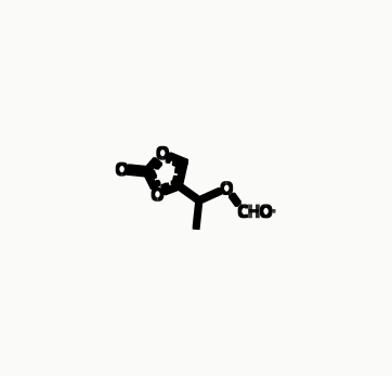 CC(O[C]=O)c1coc(=O)o1